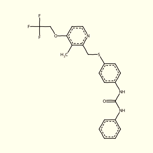 Cc1c(OCC(F)(F)F)ccnc1CSc1ccc(NC(=O)Nc2ccccc2)cc1